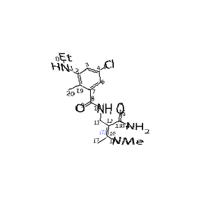 CCNc1cc(Cl)cc(C(=O)NC/C(C(N)=O)=C(\C)NC)c1C